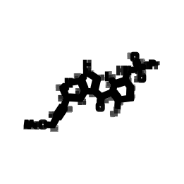 CCCS(=O)(=O)Nc1ccc(F)c(C(=O)c2c[nH]c3ncc(C#CCOC)cc23)c1F